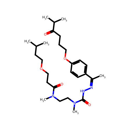 C/C(=N/NC(=O)N(C)CCN(C)C(=O)CCOCCC(C)C)c1ccc(OCCCC(=O)C(C)C)cc1